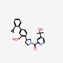 CC(C)(O)c1ccnc(C(=O)N2CCC(c3ccc(-c4ccccc4C4CC4)cc3CO)C2)c1